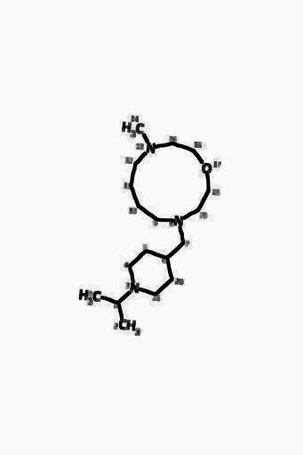 CC(C)N1CCC(CN2CCCCN(C)CCOCC2)CC1